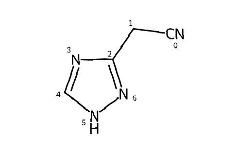 N#CCc1nc[nH]n1